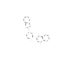 CCc1ccc2cc(-c3cc[n+](C)c(-c4cc(C(C)(C)C)c5ccccc5c4C)c3)sc2c1